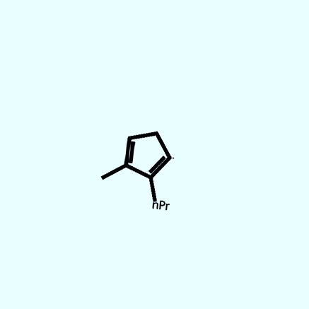 CCCC1=[C]CC=C1C